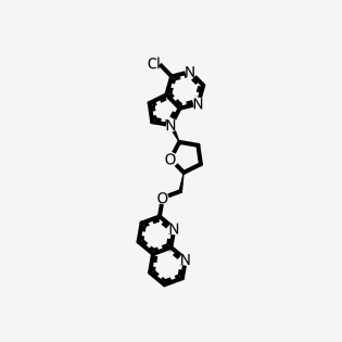 Clc1ncnc2c1ccn2[C@H]1CC[C@@H](COc2ccc3cccnc3n2)O1